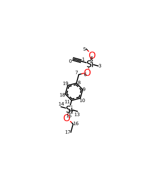 C#C[Si](C)(OC)OCc1ccc([Si](C)(C)OCC)cc1